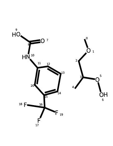 COCC(C)OO.O=C(O)Nc1cccc(C(F)(F)F)c1